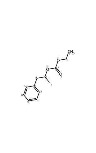 CCOC(=O)OC(I)Cc1ccccc1